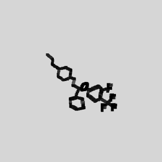 CCCC1CCC(CCC(Oc2ccc(C(F)(F)F)c(F)c2)c2ccccc2)CC1